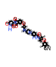 Cc1cc(OC2C(C)(C)C(NC(=O)c3ccc(N4CCC(N(C)C5CC(Oc6ccc7c(c6)C(=O)N([C@@H]6CCC(=O)NC6=O)C7=O)C5)CC4)cc3)C2(C)C)cc(C)c1C#N